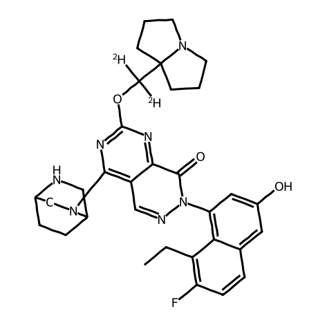 [2H]C([2H])(Oc1nc(N2CC3CCC2CN3)c2cnn(-c3cc(O)cc4ccc(F)c(CC)c34)c(=O)c2n1)C12CCCN1CCC2